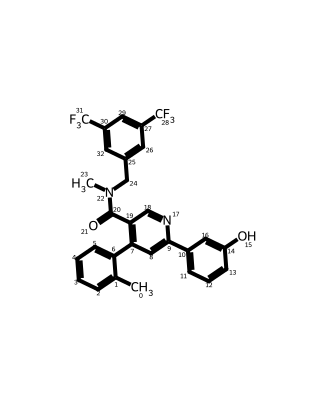 Cc1ccccc1-c1cc(-c2cccc(O)c2)ncc1C(=O)N(C)Cc1cc(C(F)(F)F)cc(C(F)(F)F)c1